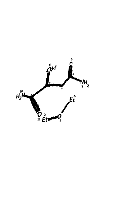 CCOCC.NC(=O)CC(O)C(N)=O